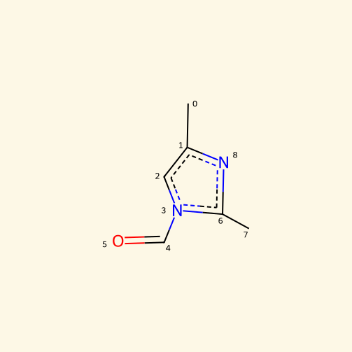 Cc1cn(C=O)c(C)n1